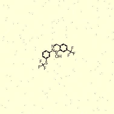 OB1c2cc(C(F)(F)F)ccc2C=NN1c1cccc(SC(F)(F)F)c1